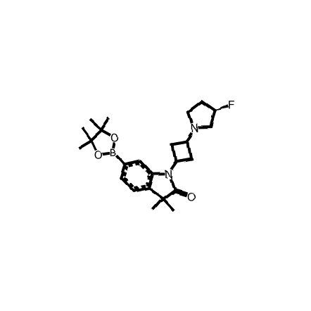 CC1(C)C(=O)N(C2CC(N3CC[C@@H](F)C3)C2)c2cc(B3OC(C)(C)C(C)(C)O3)ccc21